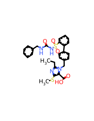 CCc1nc(SC)c(C(=O)O)n1Cc1ccc(-c2ccccc2S(=O)(=O)NC(=O)NCc2ccccc2)cc1